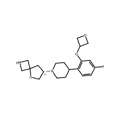 Fc1ccc(C2CCN([C@@H]3COC4(CNC4)C3)CC2)c(OC2COC2)c1